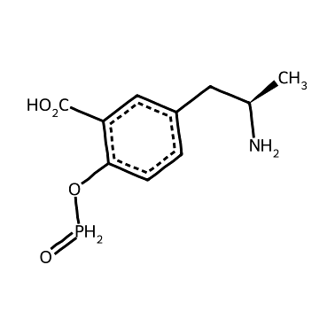 C[C@@H](N)Cc1ccc(O[PH2]=O)c(C(=O)O)c1